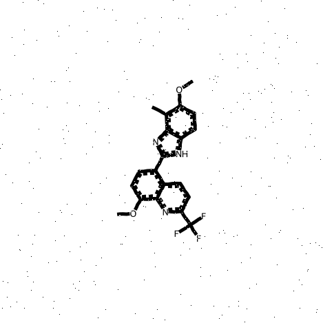 COc1ccc2[nH]c(-c3ccc(OC)c4nc(C(F)(F)F)ccc34)nc2c1C